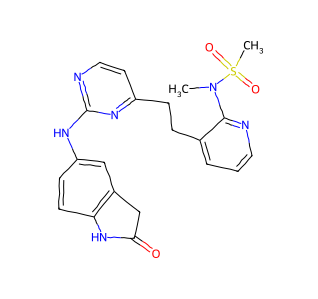 CN(c1ncccc1CCc1ccnc(Nc2ccc3c(c2)CC(=O)N3)n1)S(C)(=O)=O